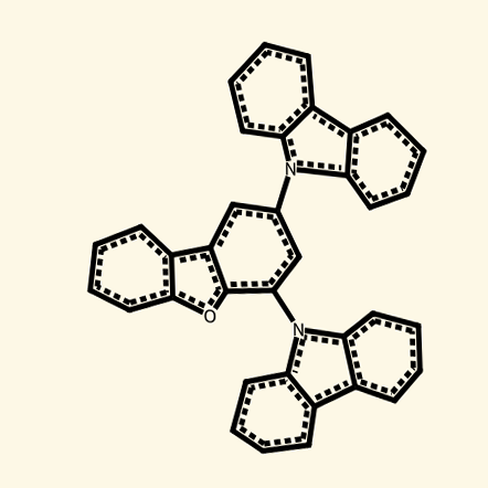 c1ccc2c(c1)oc1c(-n3c4ccccc4c4ccccc43)cc(-n3c4ccccc4c4ccccc43)cc12